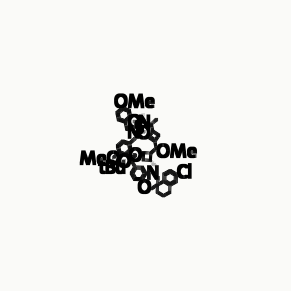 COc1ccc(CN(Cc2ccc(OC)cc2)S(=O)(=O)N(C)[C@@H](C)C2C=C([C@H](OC)[C@@H]3CC[C@H]3CN3C[C@@]4(CCCc5cc(Cl)ccc54)COc4ccc(C(=O)OC(C)(C)C)cc43)C2)cc1